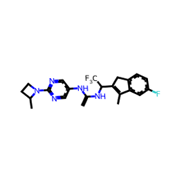 C=C(Nc1cnc(N2CCC2C)nc1)NC(C1=C(C)c2cc(F)ccc2C1)C(F)(F)F